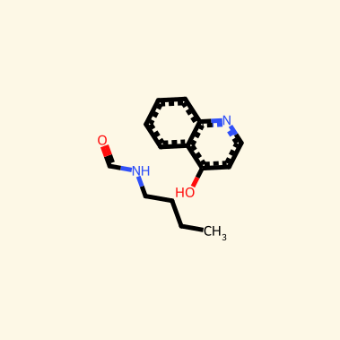 CCCCNC=O.Oc1ccnc2ccccc12